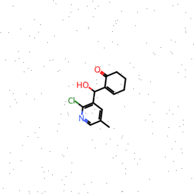 Cc1cnc(Cl)c(C(O)C2=CCCCC2=O)c1